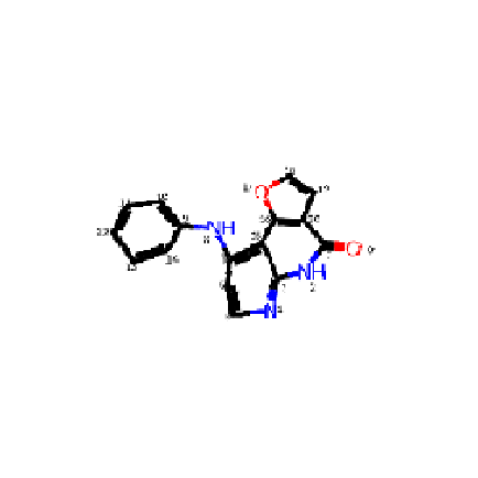 O=c1[nH]c2nccc(Nc3ccccc3)c2c2occc12